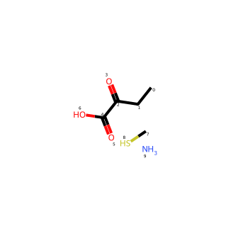 CCC(=O)C(=O)O.CS.N